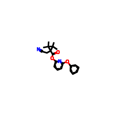 CC1(C)C(C)(C)C1(CC#N)C(=O)Oc1cccc(Oc2ccccc2)n1